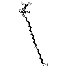 O=P(O)(OC=C(Br)Br)OCCCCCCOCCCCCCOCCCCCCO